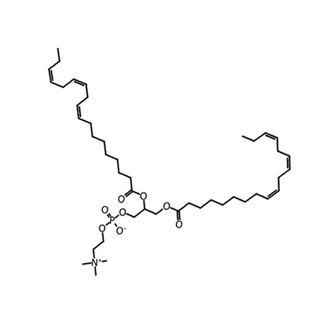 CC/C=C\C/C=C\C/C=C\CCCCCCCC(=O)OCC(COP(=O)([O-])OCC[N+](C)(C)C)OC(=O)CCCCCCC/C=C\C/C=C\C/C=C\CC